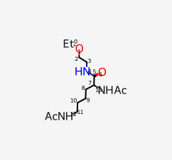 CCOCCNC(=O)C(CCCCNC(C)=O)NC(C)=O